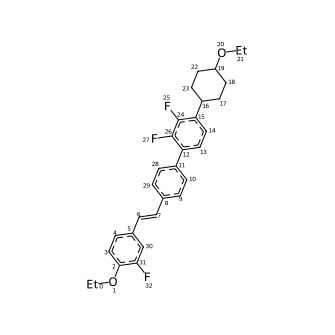 CCOc1ccc(/C=C/c2ccc(-c3ccc(C4CCC(OCC)CC4)c(F)c3F)cc2)cc1F